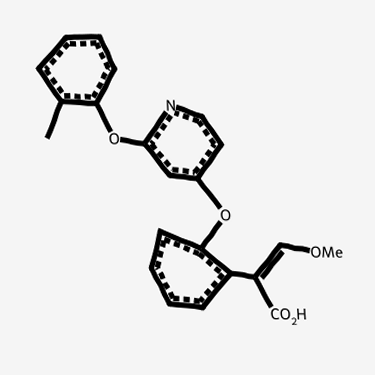 COC=C(C(=O)O)c1ccccc1Oc1ccnc(Oc2ccccc2C)c1